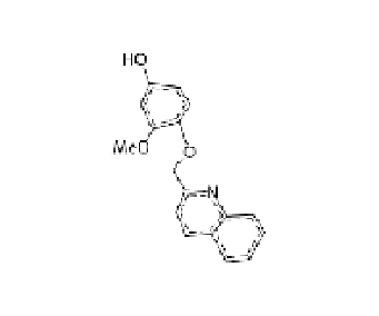 COc1cc(O)ccc1OCc1ccc2ccccc2n1